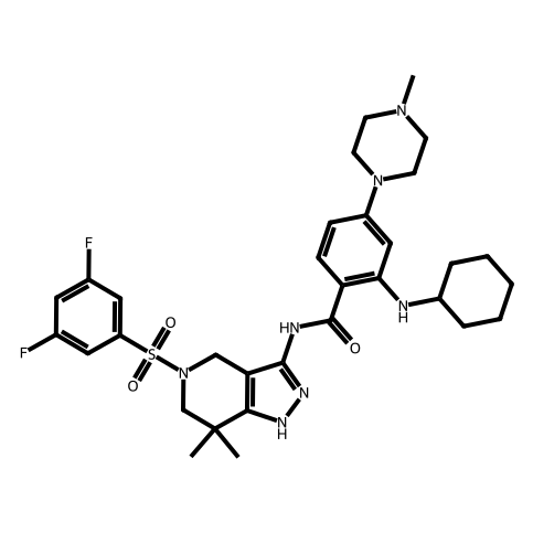 CN1CCN(c2ccc(C(=O)Nc3n[nH]c4c3CN(S(=O)(=O)c3cc(F)cc(F)c3)CC4(C)C)c(NC3CCCCC3)c2)CC1